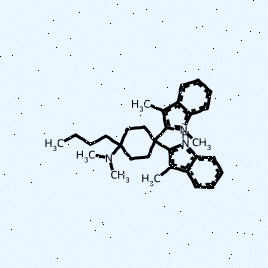 CCCCC1(N(C)C)CCC(c2[nH]c3ccccc3c2C)(c2c(C)c3ccccc3n2C)CC1